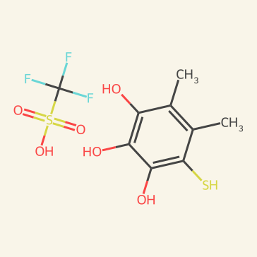 Cc1c(C)c(S)c(O)c(O)c1O.O=S(=O)(O)C(F)(F)F